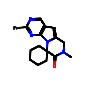 CC(C)c1ncc2cc3n(c2n1)C1(CCCCC1)C(=O)N(C)C3